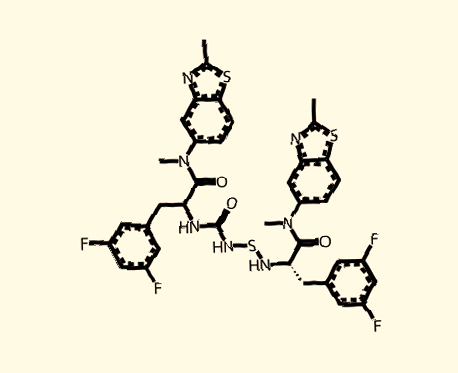 Cc1nc2cc(N(C)C(=O)C(Cc3cc(F)cc(F)c3)NC(=O)NSN[C@@H](Cc3cc(F)cc(F)c3)C(=O)N(C)c3ccc4sc(C)nc4c3)ccc2s1